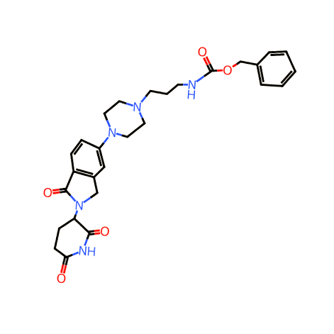 O=C1CCC(N2Cc3cc(N4CCN(CCCNC(=O)OCc5ccccc5)CC4)ccc3C2=O)C(=O)N1